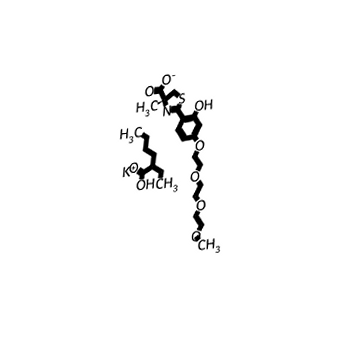 CCCCC(CC)C(=O)O.COCCOCCOCCOc1ccc(C2=N[C@@](C)(C(=O)[O-])CS2)c(O)c1.[K+]